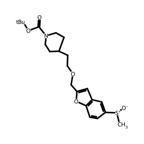 C[S+]([O-])c1ccc2oc(COCCC3CCN(C(=O)OC(C)(C)C)CC3)cc2c1